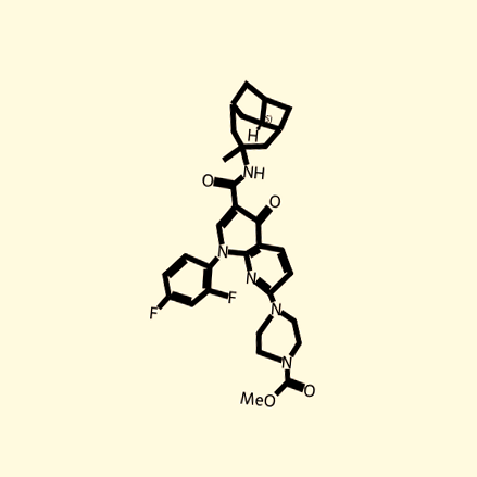 COC(=O)N1CCN(c2ccc3c(=O)c(C(=O)NC4(C)CC5CC6CC(C4)[C@H]6C5)cn(-c4ccc(F)cc4F)c3n2)CC1